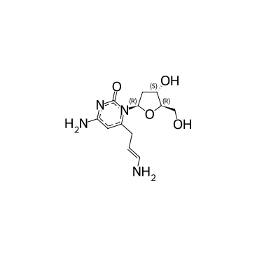 NC=CCc1cc(N)nc(=O)n1[C@H]1C[C@H](O)[C@@H](CO)O1